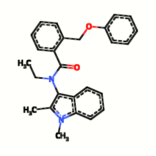 CCN(C(=O)c1ccccc1COc1ccccc1)c1c(C)n(C)c2ccccc12